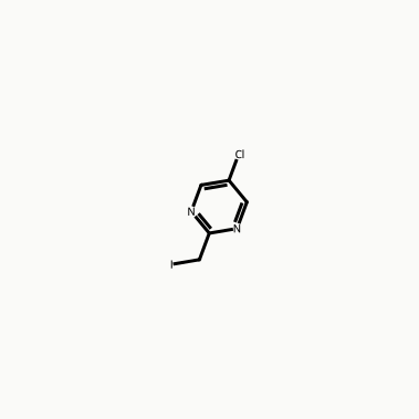 Clc1cnc(CI)nc1